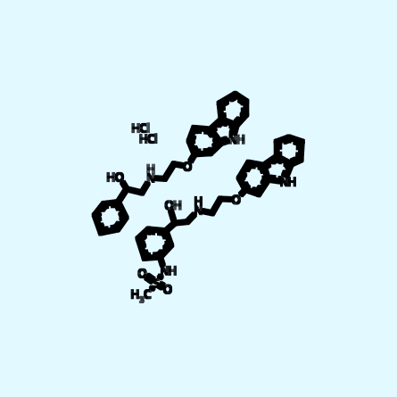 CS(=O)(=O)Nc1cccc(C(O)CNCCOc2ccc3c(c2)[nH]c2ccccc23)c1.Cl.Cl.OC(CNCCOc1ccc2c(c1)[nH]c1ccccc12)c1ccccc1